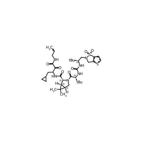 C=CCBC(=O)C(=O)C(CC1CC1)NC(=O)[C@@H]1[C@@H]2[C@H](CN1C(=O)[C@@H](NC(=O)N[C@H](CN1Cc3sccc3S1(=O)=O)C(C)(C)C)C(C)(C)C)C2(C)C